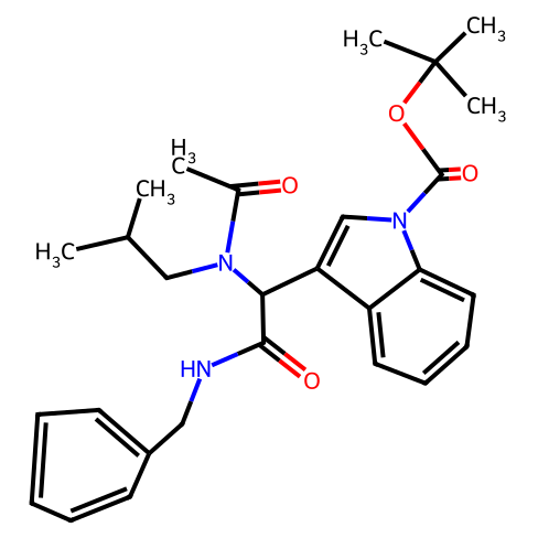 CC(=O)N(CC(C)C)C(C(=O)NCc1ccccc1)c1cn(C(=O)OC(C)(C)C)c2ccccc12